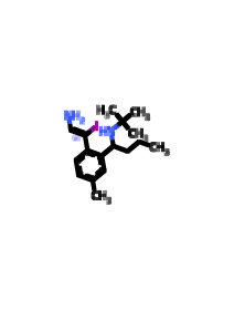 CCCC(NC(C)(C)C)c1cc(C)ccc1/C(I)=C/N